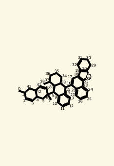 CC1C=CC2CC(C)(C3c4ccccc4C(c4cc5c6c(oc5c5ccccc45)CCC=C6)C4CCCC(C)C43)C=CC2C1